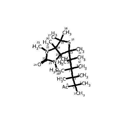 CC(=O)C(C)(C)C(C)(C)C(C)(C)C(C)(C)C1(C)SC(C)(C)C2(C)N(C)C(=O)N(C)C12C